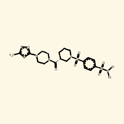 CCN(CC)S(=O)(=O)c1ccc(S(=O)(=O)N2CCC[C@@H](C(=O)N3CCN(c4nc(C(F)(F)F)no4)CC3)C2)cc1